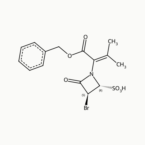 CC(C)=C(C(=O)OCc1ccccc1)N1C(=O)[C@H](Br)[C@H]1S(=O)(=O)O